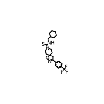 FC(F)(F)c1ccc(C2=NOC3(CCN(C(=S)NCC4CCCCC4)CC3)C2)cc1